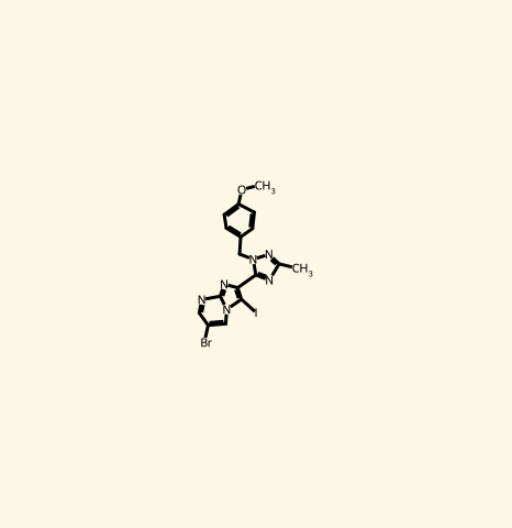 COc1ccc(Cn2nc(C)nc2-c2nc3ncc(Br)cn3c2I)cc1